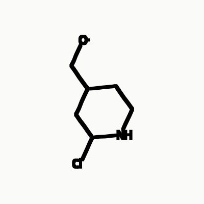 [O]CC1CCNC(Cl)C1